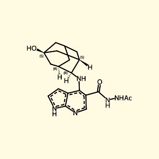 CC(=O)NNC(=O)c1cnc2[nH]ccc2c1N[C@H]1[C@@H]2CC3C[C@H]1C[C@@](O)(C3)C2